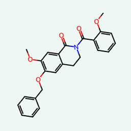 COc1cc2c(cc1OCc1ccccc1)CCN(C(=O)c1ccccc1OC)C2=O